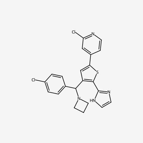 Clc1ccc(C(c2cc(-c3ccnc(Cl)c3)sc2-c2ncc[nH]2)N2CCC2)cc1